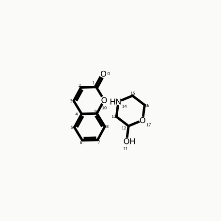 O=c1ccc2ccccc2o1.OC1CNCCO1